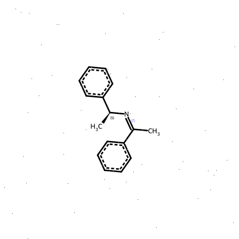 C/C(=N/[C@@H](C)c1ccccc1)c1ccccc1